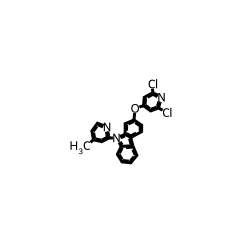 Cc1ccnc(-n2c3ccccc3c3ccc(Oc4cc(Cl)nc(Cl)c4)cc32)c1